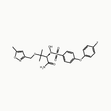 Cc1cc(CSC(C)(C)[C@H](C(N)=O)N(O)S(=O)(=O)c2ccc(Oc3ccc(F)cc3)cc2)no1